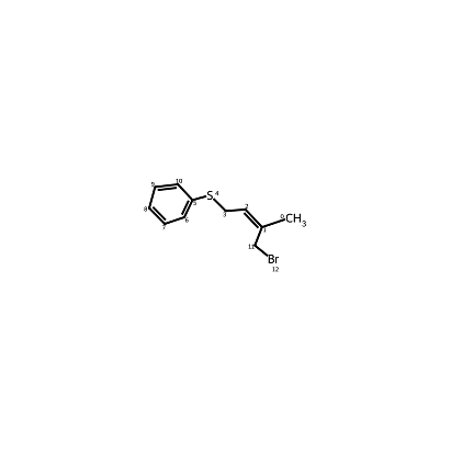 CC(=CCSc1ccccc1)CBr